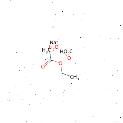 CCOC(C)=O.O.O=C([O-])O.[Na+]